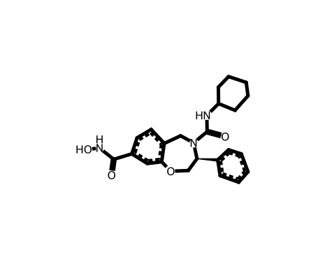 O=C(NO)c1ccc2c(c1)OC[C@H](c1ccccc1)N(C(=O)NC1CCCCC1)C2